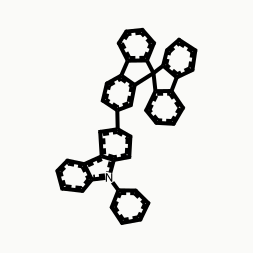 c1ccc(-n2c3ccccc3c3cc(-c4ccc5c(c4)C4(c6ccccc6-c6ccccc64)c4ccccc4-5)ccc32)cc1